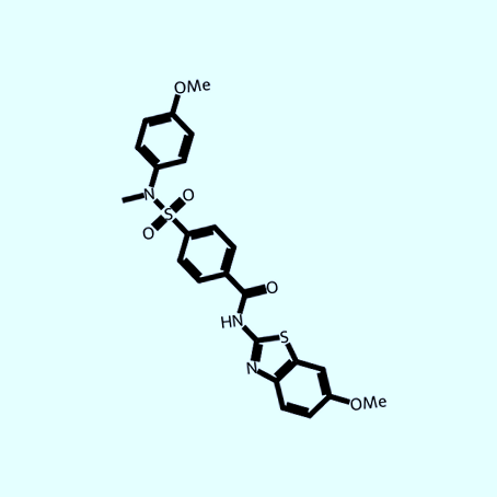 COc1ccc(N(C)S(=O)(=O)c2ccc(C(=O)Nc3nc4ccc(OC)cc4s3)cc2)cc1